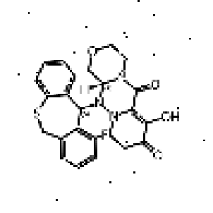 O=C1CCN2C(=C1O)C(=O)N1CCOC[C@H]1N2[C@@H]1c2ccccc2SCc2cccc(F)c21